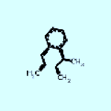 C=C/C=c1/cccc/c1=C(\C)C=C